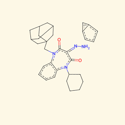 NN=c1c(=O)n(CC23CC4CC(CC(C4)C2)C3)c2ccccc2n(C2CCCCC2)c1=O.c1cc2cc-2c1